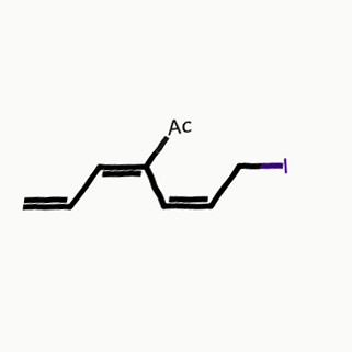 C=C/C=C(\C=C/CI)C(C)=O